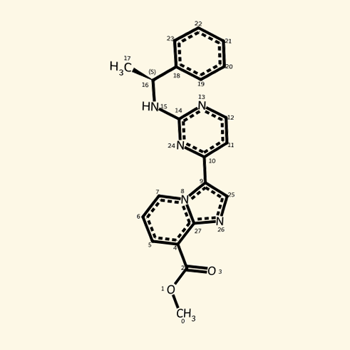 COC(=O)c1cccn2c(-c3ccnc(N[C@@H](C)c4ccccc4)n3)cnc12